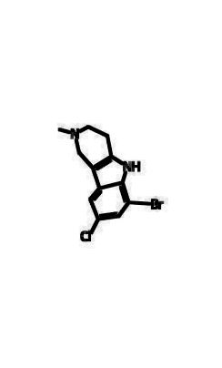 CN1CCc2[nH]c3c(Br)cc(Cl)cc3c2C1